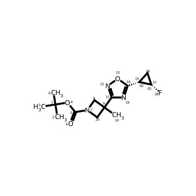 CC(C)(C)OC(=O)N1CC(C)(c2noc([C@@H]3C[C@@H]3F)n2)C1